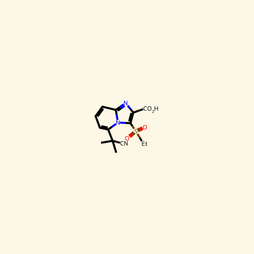 CCS(=O)(=O)c1c(C(=O)O)nc2cccc(C(C)(C)C#N)n12